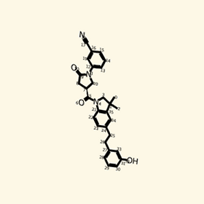 CC1(C)CN(C(=O)[C@H]2CC(=O)N(c3cccc(C#N)c3)C2)c2ccc(CCc3cccc(O)c3)cc21